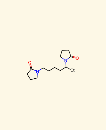 CCC(CCCCN1CCCC1=O)N1CCCC1=O